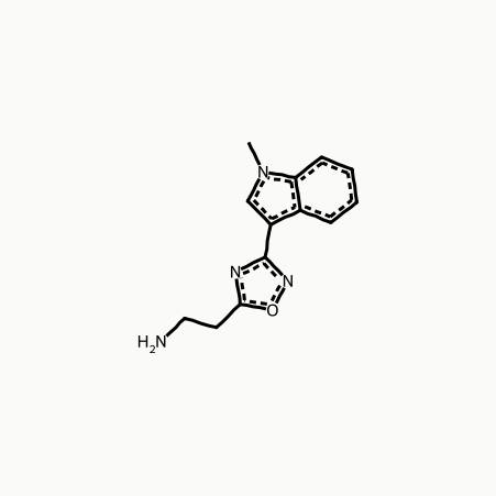 Cn1cc(-c2noc(CCN)n2)c2ccccc21